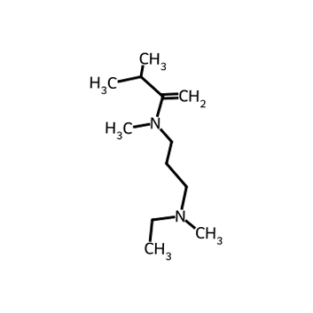 C=C(C(C)C)N(C)CCCN(C)CC